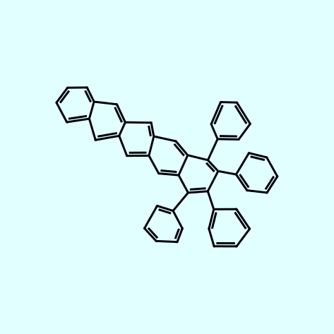 c1ccc(-c2c(-c3ccccc3)c(-c3ccccc3)c3cc4cc5cc6ccccc6cc5cc4cc3c2-c2ccccc2)cc1